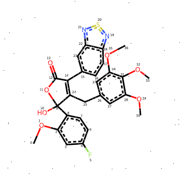 COc1cc(F)ccc1C1(O)OC(=O)C(c2ccc3nsnc3c2)=C1Cc1cc(OC)c(OC)c(OC)c1